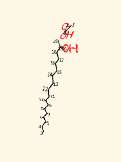 C1CO1.CCCCCCCCCCCCCCCCC(O)CO